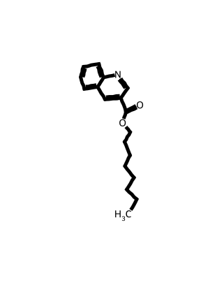 CCCCCCCCOC(=O)c1cnc2ccccc2c1